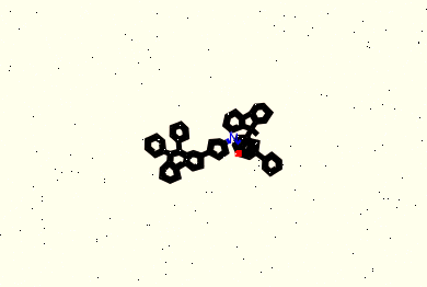 CC1(c2ccccc2)c2ccccc2-c2cccc(N(c3ccc(-c4ccccc4)cc3)c3ccc(-c4ccc5c(c4)c(-c4ccccc4)c(-c4ccccc4)c4ccccc45)cc3)c21